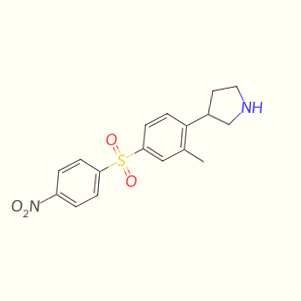 Cc1cc(S(=O)(=O)c2ccc([N+](=O)[O-])cc2)ccc1C1CCNC1